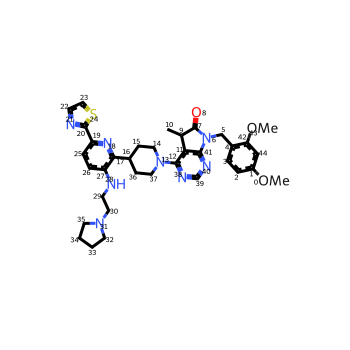 COc1ccc(CN2C(=O)C(C)c3c(N4CCC(c5nc(-c6nccs6)ccc5NCCN5CCCC5)CC4)ncnc32)c(OC)c1